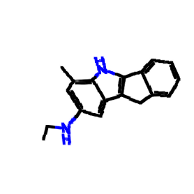 CCNc1cc(C)c2[nH]c3c(c2c1)Cc1ccccc1-3